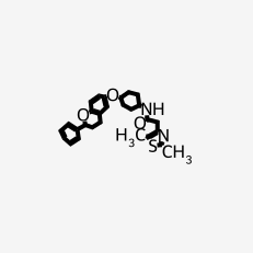 Cc1nc(CC(=O)NC2CCC(Oc3ccc4c(c3)CCC(c3ccccc3)O4)CC2)c(C)s1